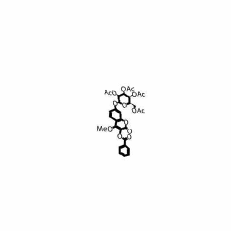 COc1c(OC(=O)c2ccccc2)c(=O)oc2cc(O[C@@H]3O[C@H](COC(C)=O)[C@@H](OC(C)=O)[C@H](OC(C)=O)[C@H]3OC(C)=O)ccc12